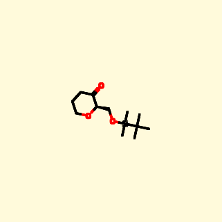 CC(C)(C)[Si](C)(C)OC[C@H]1OCCCC1=O